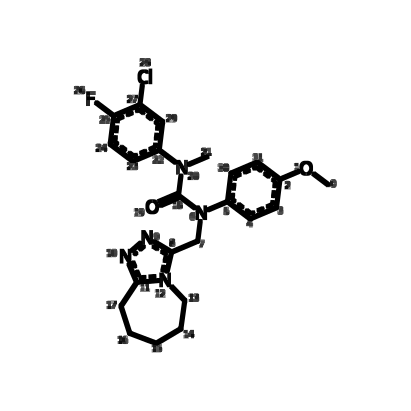 COc1ccc(N(Cc2nnc3n2CCCCC3)C(=O)N(C)c2ccc(F)c(Cl)c2)cc1